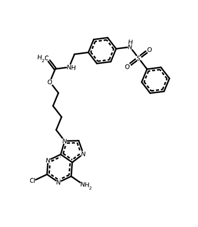 C=C(NCc1ccc(NS(=O)(=O)c2ccccc2)cc1)OCCCCn1cnc2c(N)nc(Cl)nc21